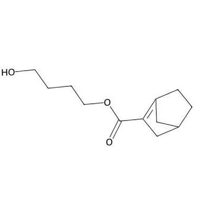 O=C(OCCCCO)C1=C2CCC(C2)C1